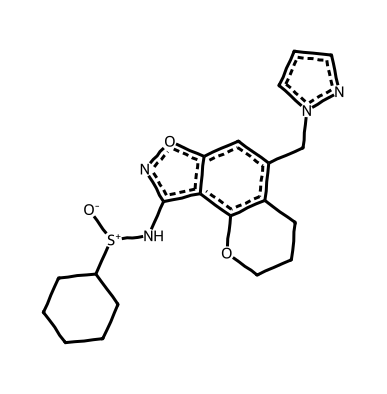 [O-][S+](Nc1noc2cc(Cn3cccn3)c3c(c12)OCCC3)C1CCCCC1